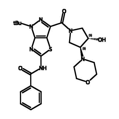 CC(C)(C)n1nc(C(=O)N2C[C@H](O)[C@@H](N3CCOCC3)C2)c2sc(NC(=O)c3ccccc3)nc21